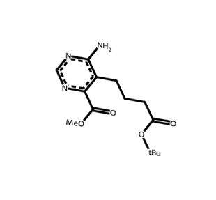 COC(=O)c1ncnc(N)c1CCCC(=O)OC(C)(C)C